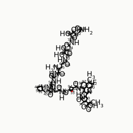 CC[C@@]1(O)C(=O)OCc2c1cc1n(c2=O)Cc2c-1nc1cc(F)c(C)c3c1c2[C@@H](NC(=O)C12CC(OCNC(=O)CNC(=O)[C@H](Cc4ccccc4)NC(=O)CNC(=O)CNC(=O)[C@@H](N)CCC(=O)NC[C@H]4O[C@@H](CC(=O)NC[C@H]5O[C@@H](CC(N)=O)[C@H](O)[C@@H]5O)[C@H](O)[C@@H]4O)(C1)C2)CC3